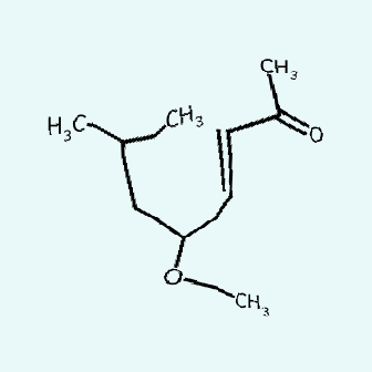 COC(C=CC(C)=O)CC(C)C